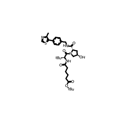 Cc1ncsc1-c1ccc(CNC(=O)[C@@H]2C[C@@H](O)CN2C(=O)[C@@H](NC(=O)CCCCC(=O)OC(C)(C)C)C(C)(C)C)cc1